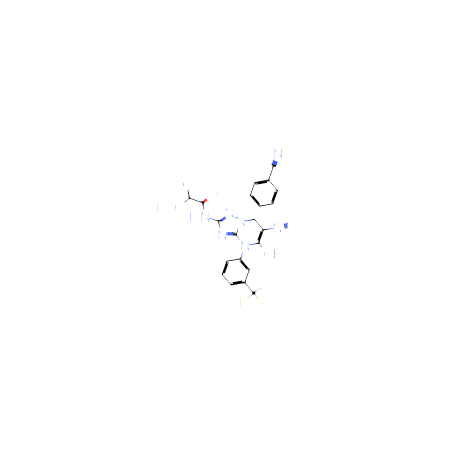 [C-]#[N+]C1=C(C)N(c2cccc(C(F)(F)F)c2)c2nc(NC(=O)C(C)C)nn2[C@@H]1c1ccc(C#N)cc1